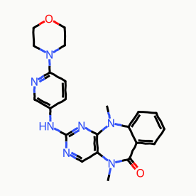 CN1C(=O)c2ccccc2N(C)c2nc(Nc3ccc(N4CCOCC4)nc3)ncc21